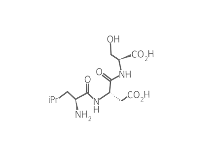 CC(C)C[C@H](N)C(=O)N[C@@H](CC(=O)O)C(=O)N[C@@H](CO)C(=O)O